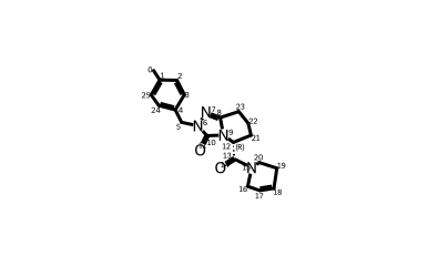 Cc1ccc(Cn2nc3n(c2=O)[C@@H](C(=O)N2CC=CCC2)CCC3)cc1